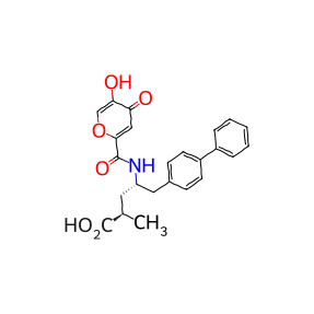 C[C@H](C[C@@H](Cc1ccc(-c2ccccc2)cc1)NC(=O)c1cc(=O)c(O)co1)C(=O)O